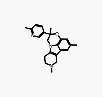 Cc1cc2c3c(c1)c1c(n3CC(C)(c3ccc(C)nc3)O2)CCN(C)C1